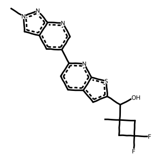 Cn1cc2cc(-c3ccc4cc(C(O)C5(C)CC(F)(F)C5)sc4n3)cnc2n1